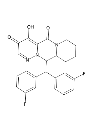 O=C1c2c(O)c(=O)cnn2C(C(c2cccc(F)c2)c2cccc(F)c2)C2CCCCN12